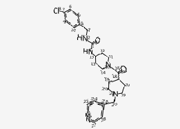 O=C(NCc1ccc(Cl)cc1)NC1CCN(C(=O)C2CCN(Cc3ccncc3)CC2)CC1